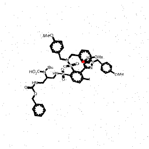 COc1ccc(CN(Cc2ccc(OC)cc2)S(=O)(=O)c2c(S(=O)(=O)NCC(CNC(=O)OCc3ccccc3)N(C(=O)O)C(C)(C)C)ccc(I)c2-c2nnn(Cc3ccc(OC)cc3)n2)cc1